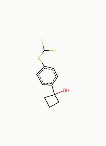 OC1(c2ccc(SC(F)F)cc2)CCC1